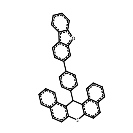 c1ccc2c3c(ccc2c1)Sc1ccc2ccccc2c1C3c1ccc(-c2ccc3c(c2)oc2ccccc23)cc1